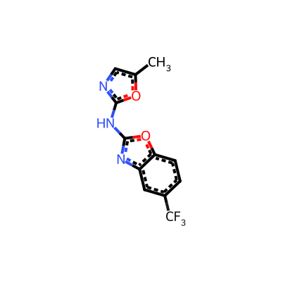 Cc1cnc(Nc2nc3cc(C(F)(F)F)ccc3o2)o1